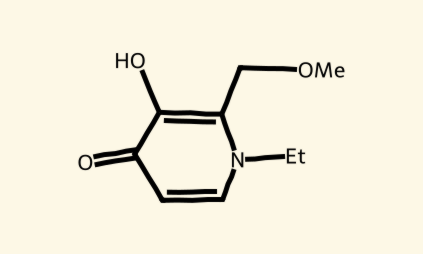 CCn1ccc(=O)c(O)c1COC